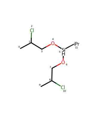 CC(Cl)CO[SiH](OCC(C)Cl)C(C)C